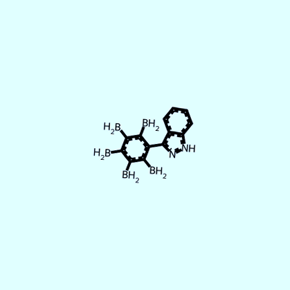 Bc1c(B)c(B)c(-c2n[nH]c3ccccc23)c(B)c1B